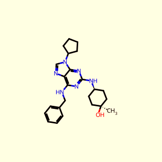 C[C@]1(O)CC[C@@H](Nc2nc(NCc3ccccc3)c3ncn(C4CCCC4)c3n2)CC1